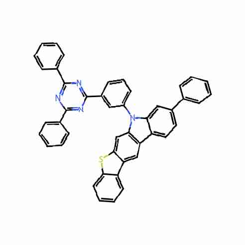 c1ccc(-c2ccc3c4cc5c(cc4n(-c4cccc(-c6nc(-c7ccccc7)nc(-c7ccccc7)n6)c4)c3c2)sc2ccccc25)cc1